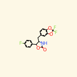 O=C1NC(Cc2ccc3c(c2)OC(F)(F)O3)C(c2ccc(F)cc2)O1